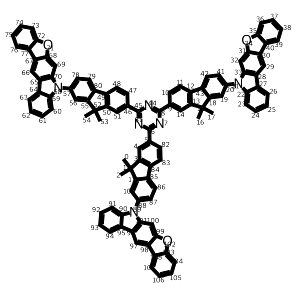 CC1(C)c2cc(-c3nc(-c4ccc5c(c4)C(C)(C)c4cc(-n6c7ccccc7c7cc8c(cc76)oc6ccccc68)ccc4-5)nc(-c4ccc5c(c4)C(C)(C)c4cc(-n6c7ccccc7c7cc8c(cc76)oc6ccccc68)ccc4-5)n3)ccc2-c2ccc(-n3c4ccccc4c4cc5c(cc43)oc3ccccc35)cc21